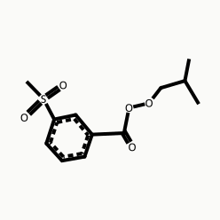 CC(C)COOC(=O)c1cccc(S(C)(=O)=O)c1